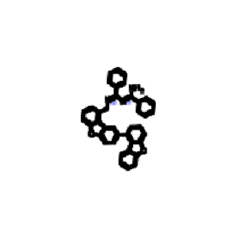 N/C(=N\C(=N/Cc1cccc2oc3ccc(-c4cccc5oc6ccccc6c45)cc3c12)c1ccccc1)c1ccccc1